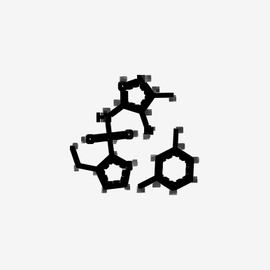 CCc1ccsc1S(=O)(=O)Nc1onc(C)c1Br.Cc1cccc(C)c1